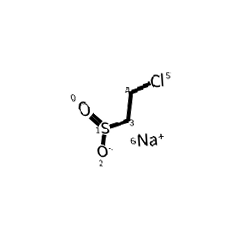 O=S([O-])CCCl.[Na+]